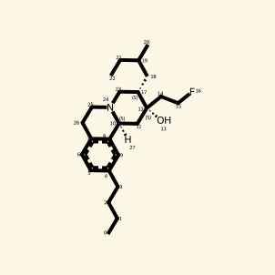 CCCCc1ccc2c(c1)[C@@H]1C[C@](O)(CCF)[C@@H](CC(C)CC)CN1CC2